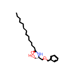 CCCCCCCCCCCCCC(=O)N[C@@H](CO)COCc1ccccc1